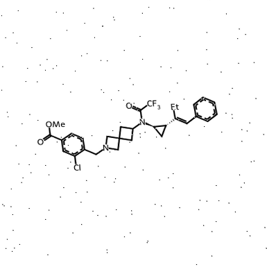 CC/C(=C\c1ccccc1)[C@@H]1C[C@H]1N(C(=O)C(F)(F)F)C1CC2(C1)CN(Cc1ccc(C(=O)OC)cc1Cl)C2